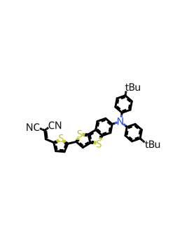 CC(C)(C)c1ccc(N(c2ccc(C(C)(C)C)cc2)c2ccc3c(c2)sc2cc(-c4ccc(C=C(C#N)C#N)s4)sc23)cc1